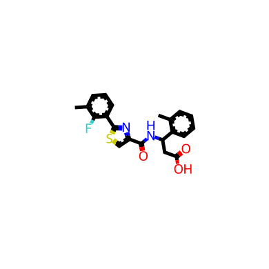 Cc1ccccc1C(CC(=O)O)NC(=O)c1csc(-c2cccc(C)c2F)n1